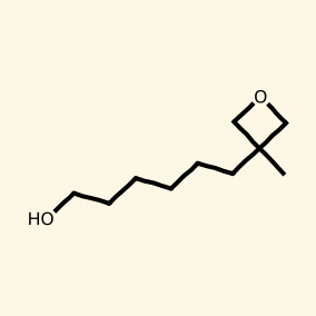 CC1(CCCCCCO)COC1